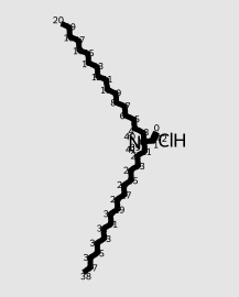 C=CC(CCCCCCCCCCCCCCCCCC)(CCCCCCCCCCCCCCCCCC)N(C)C.Cl